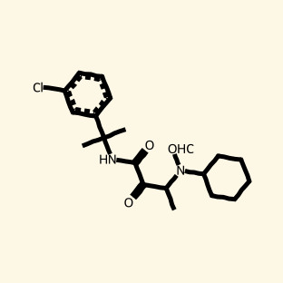 CC(C(=O)C(=O)NC(C)(C)c1cccc(Cl)c1)N(C=O)C1CCCCC1